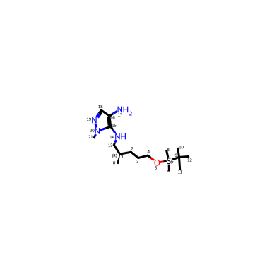 C[C@H](CCCO[Si](C)(C)C(C)(C)C)CNc1c(N)cnn1C